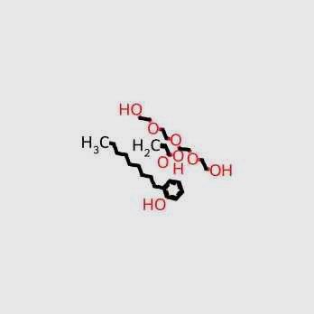 C=CC(=O)O.CCCCCCCCCc1ccccc1O.OCCOCCOCCOCCO